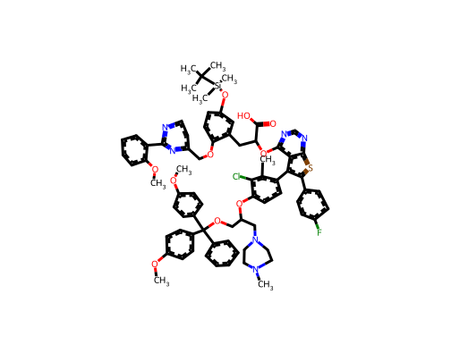 COc1ccc(C(OCC(CN2CCN(C)CC2)Oc2ccc(-c3c(-c4ccc(F)cc4)sc4ncnc(OC(Cc5cc(O[Si](C)(C)C(C)(C)C)ccc5OCc5ccnc(-c6ccccc6OC)n5)C(=O)O)c34)c(C)c2Cl)(c2ccccc2)c2ccc(OC)cc2)cc1